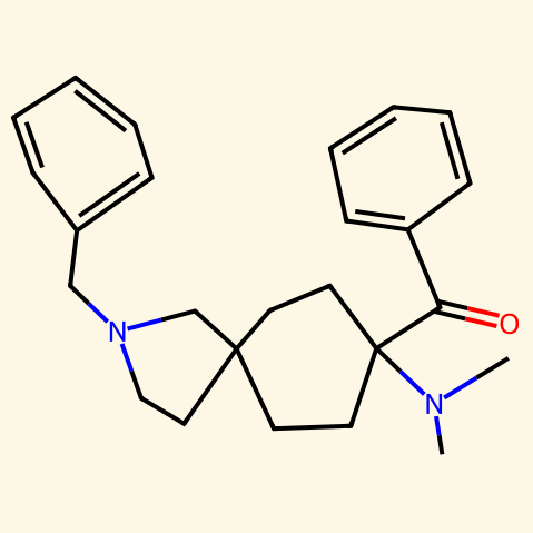 CN(C)C1(C(=O)c2ccccc2)CCC2(CCN(Cc3ccccc3)C2)CC1